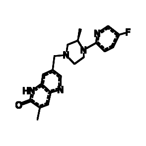 Cc1cc2ncc(CN3CCN(c4ccc(F)cn4)[C@H](C)C3)cc2[nH]c1=O